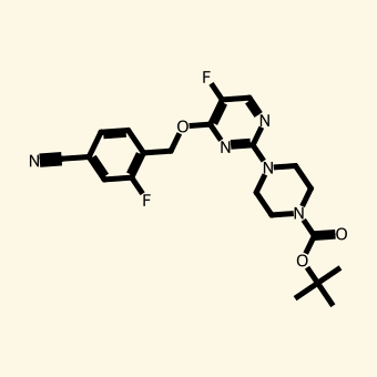 CC(C)(C)OC(=O)N1CCN(c2ncc(F)c(OCc3ccc(C#N)cc3F)n2)CC1